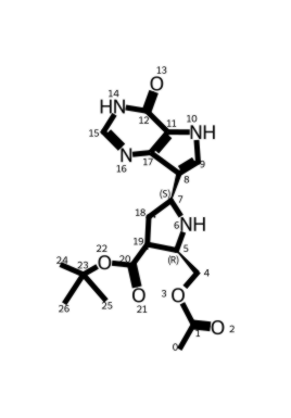 CC(=O)OC[C@@H]1N[C@H](c2c[nH]c3c(=O)[nH]cnc23)[CH][C]1C(=O)OC(C)(C)C